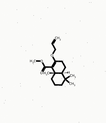 C=CCOC1=C(C(=O)OC)[C@@]2(C)CCCC(C)(C)[C@@H]2CC1